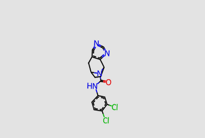 O=C(Nc1ccc(Cl)c(Cl)c1)N1C2CCC1c1ncncc1C2